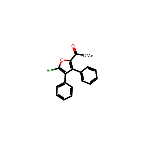 COC(=O)c1oc(Br)c(-c2ccccc2)c1-c1ccccc1